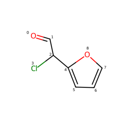 O=CC(Cl)c1ccco1